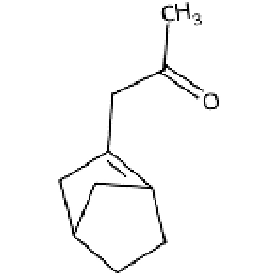 CC(=O)CC1=C2CCC(C2)C1